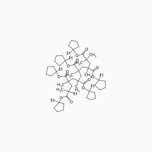 CCC1(OC(=O)C(C)(C)CC(C)(CC(C)(CC(C)(CC(C)(CC(C)(CC)C(=O)OC2(CC)CCCC2)C(=O)OC2(CC)CCCC2)C(=O)OC2(CC)CCCC2)C(=O)OC2(CC)CCCC2)C(=O)OC2(CC)CCCC2)CCCC1